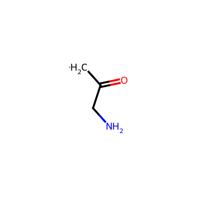 [CH2]C(=O)CN